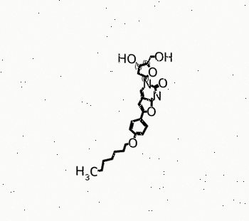 CCCCCCCOc1ccc(-c2cc3cn([C@H]4C[C@H](O)[C@@H](CO)O4)c(=O)nc3o2)cc1